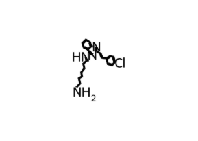 NCCCCCCCCNc1nc(C=Cc2ccc(Cl)cc2)nc2ccccc12